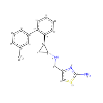 Nc1nc(CN[C@@H]2C[C@H]2c2ccccc2-c2cccc(C(F)(F)F)c2)cs1